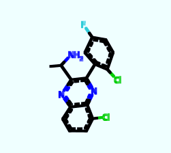 CC(N)c1nc2cccc(Cl)c2nc1-c1cc(F)ccc1Cl